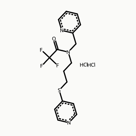 Cl.Cl.O=C(N(CCCSc1ccncc1)Cc1ccccn1)C(F)(F)F